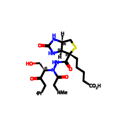 CNCC(=O)N(NC(=O)[C@@]1(CCCCC(=O)O)SC[C@@H]2NC(=O)N[C@@H]21)[C@@H](CO)C(=O)C[C](C)C